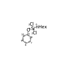 CCCCCC[Si](Cl)(Cl)Oc1ccccc1